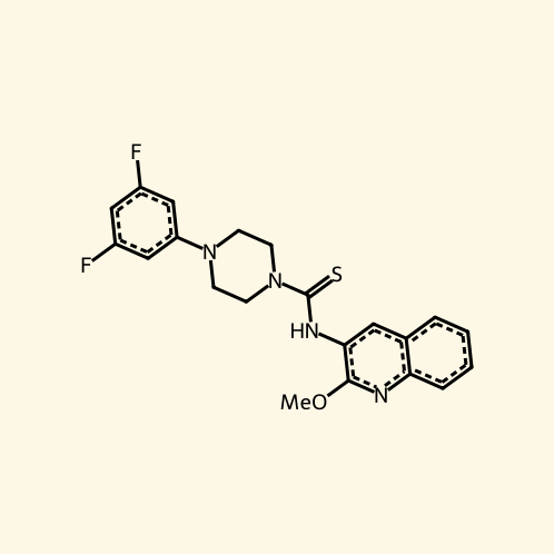 COc1nc2ccccc2cc1NC(=S)N1CCN(c2cc(F)cc(F)c2)CC1